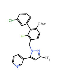 COc1ccc(Cn2nc(C(F)(F)F)cc2-c2cccnc2)c(F)c1-c1cccc(Cl)c1